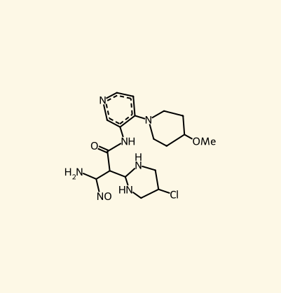 COC1CCN(c2ccncc2NC(=O)C(C(N)N=O)C2NCC(Cl)CN2)CC1